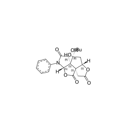 CC(C)(C)[C@]1(O)C[C@@H]2OC(=O)C[C@@]23C(=O)O[C@@H]2N(c4ccccc4)C(=O)[C@H](O)[C@]213